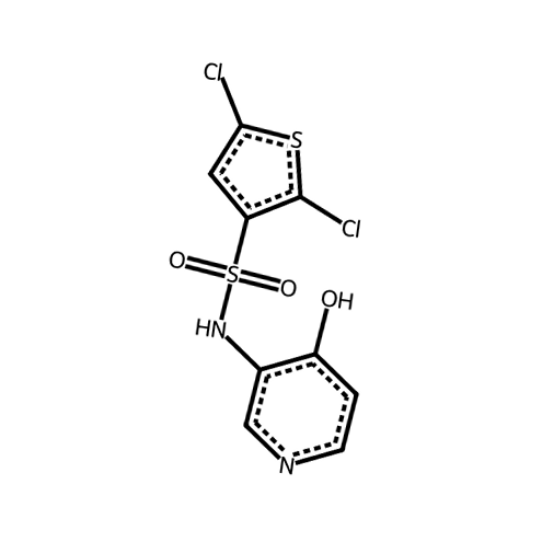 O=S(=O)(Nc1cnccc1O)c1cc(Cl)sc1Cl